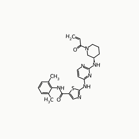 C=CC(=O)N1CCC[C@@H](Nc2nccc(Nc3ncc(C(=O)Nc4c(C)cccc4C)s3)n2)C1